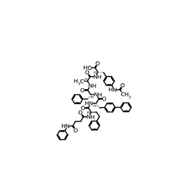 CC(=O)Nc1ccc(C[C@H](NC(=O)[C@H](C)NC(=O)[C@@H](Cc2ccccc2)NC(=O)[C@H](Cc2ccc(-c3ccccc3)cc2)NC(=O)[C@@H](CCc2ccccc2)NC(=O)CCC(=O)Nc2ccccc2)C(=O)O)cc1